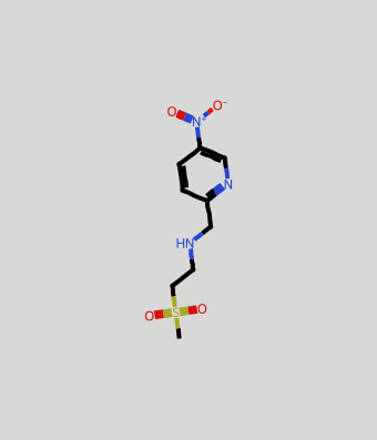 CS(=O)(=O)CCNCc1ccc([N+](=O)[O-])cn1